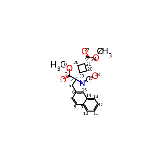 COC(=O)C(Cc1ccc2ccccc2c1)(N=C=O)[C@H]1C[C@@H](C(=O)OC)C1